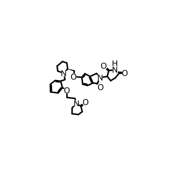 O=C1CCC(N2Cc3cc(OC[C@@H]4CCCCN4Cc4ccccc4OCCN4CCCCC4=O)ccc3C2=O)C(=O)N1